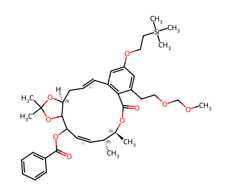 COCOCCc1cc(OCC[Si](C)(C)C)cc2c1C(=O)O[C@@H](C)[C@H](C)/C=C\C(OC(=O)c1ccccc1)C1OC(C)(C)O[C@H]1C/C=C/2